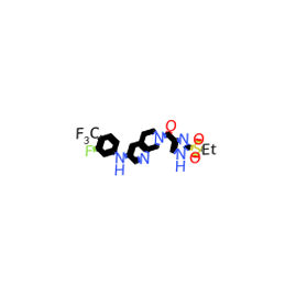 CCS(=O)(=O)c1nc(C(=O)N2CCc3cc(Nc4ccc(C(F)(F)F)c(F)c4)cnc3C2)c[nH]1